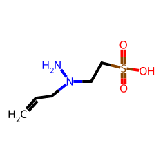 C=CCN(N)CCS(=O)(=O)O